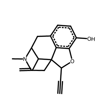 C#CC1Oc2c(O)ccc3c2C12CCN(C)C(C3)C2C=C